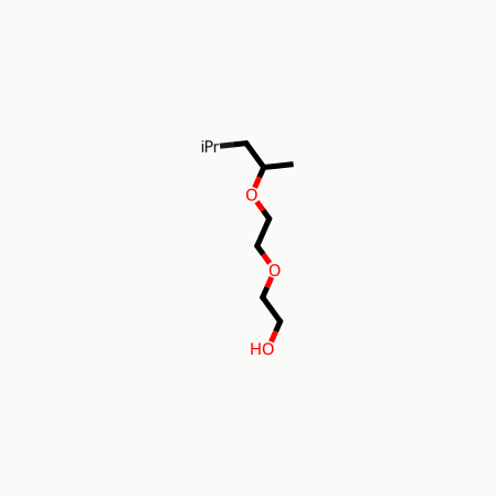 CC(C)CC(C)OCCOCCO